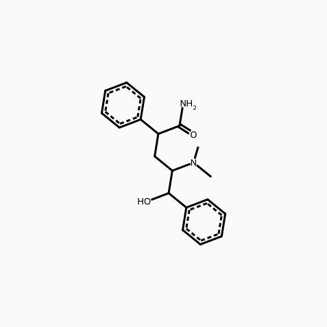 CN(C)C(CC(C(N)=O)c1ccccc1)C(O)c1ccccc1